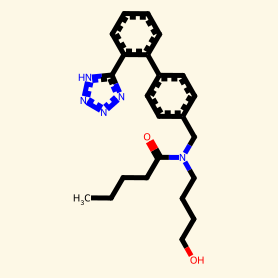 CCCCC(=O)N(CCCCO)Cc1ccc(-c2ccccc2-c2nnn[nH]2)cc1